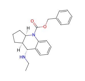 CCN[C@H]1c2ccccc2N(C(=O)OCc2ccccc2)[C@@H]2CCC[C@@H]21